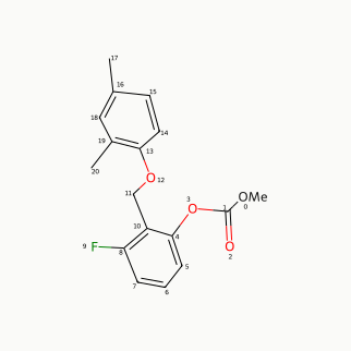 COC(=O)Oc1cccc(F)c1COc1ccc(C)cc1C